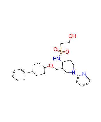 O=S(=O)(CCO)NC1CCN(c2ccccn2)CC1COC1CCC(c2ccccc2)CC1